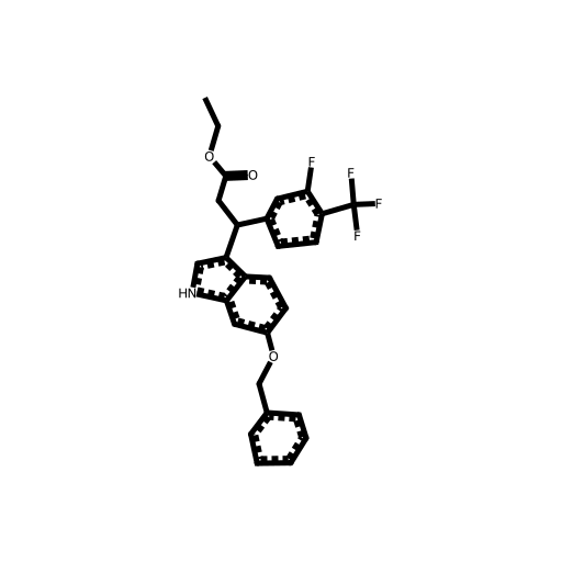 CCOC(=O)CC(c1ccc(C(F)(F)F)c(F)c1)c1c[nH]c2cc(OCc3ccccc3)ccc12